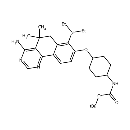 CCN(CC)c1c(OC2CCC(NC(=O)OC(C)(C)C)CC2)ccc2c1CC(C)(C)c1c(N)ncnc1-2